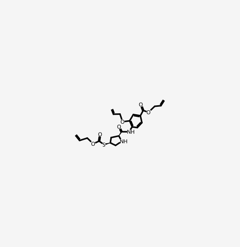 C=CCOC(=O)S[C@@H]1CN[C@H](C(=O)Nc2ccc(C(=O)OCC=C)cc2OCC=C)C1